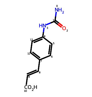 NC(=O)Nc1ccc(/C=C/C(=O)O)cc1